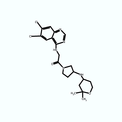 CC1(C)CC(NC2CCN(C(=O)CNc3ncnc4cc(Cl)c(Cl)cc34)C2)CCO1